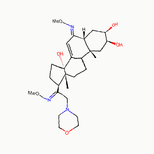 CO/N=C1\C=C2C(CC[C@]3(C)[C@@H](/C(CN4CCOCC4)=N\OC)CC[C@@]23O)[C@@]2(C)C[C@H](O)[C@H](O)C[C@@H]12